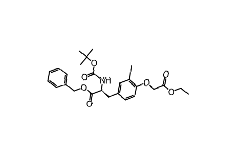 CCOC(=O)COc1ccc(C[C@H](NC(=O)OC(C)(C)C)C(=O)OCc2ccccc2)cc1I